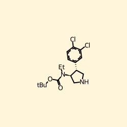 CCN(C(=O)OC(C)(C)C)[C@@H]1CNC[C@H]1c1ccc(Cl)c(Cl)c1